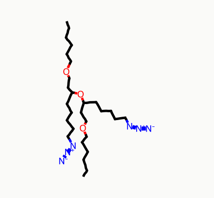 CCCCCCOCCC(CCCCCN=[N+]=[N-])OC(CCCCCN=[N+]=[N-])CCOCCCCCC